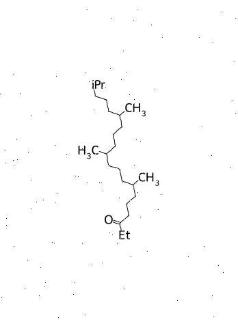 CCC(=O)CCCC(C)CCCC(C)CCCC(C)CCCC(C)C